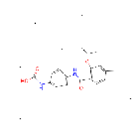 Cc1ccc(C(=O)Nc2ccc(NC(=O)O)cc2)c(OC(C)C)c1